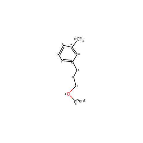 [CH2]CCCCOCCCc1cccc(C(F)(F)F)c1